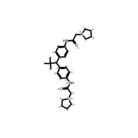 CC(C)(C)C(c1ccc(NC(=O)CN2CCCC2)cc1)c1ccc(NC(=O)CN2CCCC2)cc1